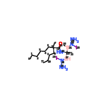 CCCCCCC(C)(CCCC)C(=O)NC(C)(BN(N)I)B(C)N(N)I